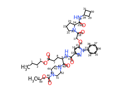 CCCCOC(=O)CCC(NC(=O)c1cc(OCC(=O)N2CCCC2C(=O)NC2CCC2)n(-c2ccccc2)n1)C(=O)N1CCN(C(=O)OCC)CC1